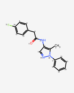 Cc1c(NC(=O)Cc2ccc(F)cc2)cnn1-c1ccccc1